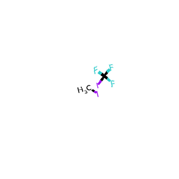 CI.FC(F)(F)I